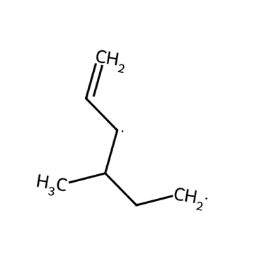 [CH2]CC(C)[CH]C=C